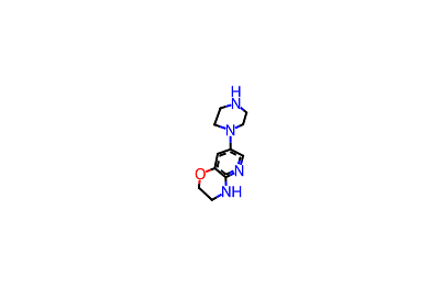 c1nc2c(cc1N1CCNCC1)OCCN2